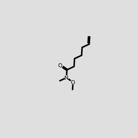 C=CCCCCC(=O)N(C)OC